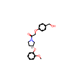 COc1ccccc1O[C@@H]1CCN(C(=O)COc2ccc(CO)cc2)C1